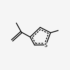 C=C(C)c1csc(C)c1